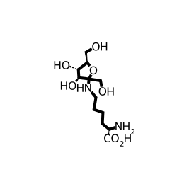 N[C@@H](CCCCNC1(CO)O[C@H](CO)[C@@H](O)[C@@H]1O)C(=O)O